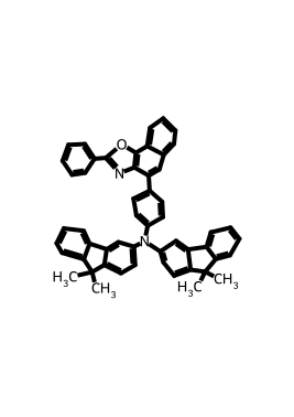 CC1(C)c2ccccc2-c2cc(N(c3ccc(-c4cc5ccccc5c5oc(-c6ccccc6)nc45)cc3)c3ccc4c(c3)-c3ccccc3C4(C)C)ccc21